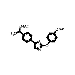 COc1ccc(Oc2ncc(-c3ccc(C(C)NC(C)=O)cc3)s2)cc1